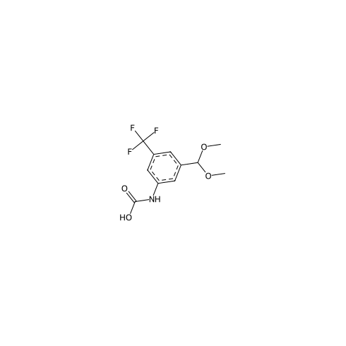 COC(OC)c1cc(NC(=O)O)cc(C(F)(F)F)c1